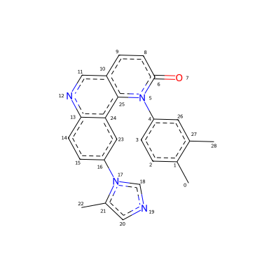 Cc1ccc(-n2c(=O)ccc3cnc4ccc(-n5cncc5C)cc4c32)cc1C